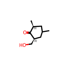 CC1C[C@@H](CO)C(=O)[C@@H](C)C1